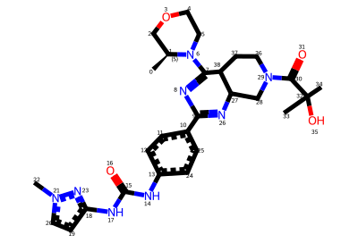 C[C@H]1COCCN1C1=NC(c2ccc(NC(=O)Nc3ccn(C)n3)cc2)=NC2CN(C(=O)C(C)(C)O)CCC12